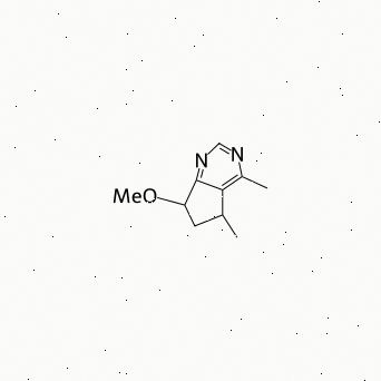 COC1CC(C)c2c(C)ncnc21